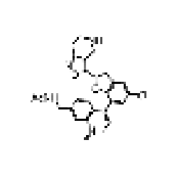 C=Nc1cc(CNC(C)=O)ccc1/C(=C\C)c1cc(Cl)cc2c1OC(c1onc3c1CNCC3)C2